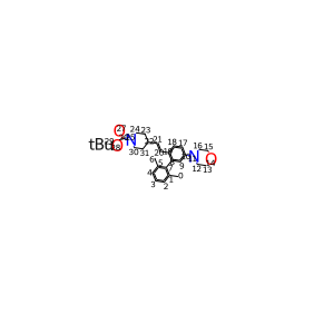 Cc1cccc(C)c1-c1cc(N2CCOCC2)ccc1C=CC1CCN(C(=O)OC(C)(C)C)CC1